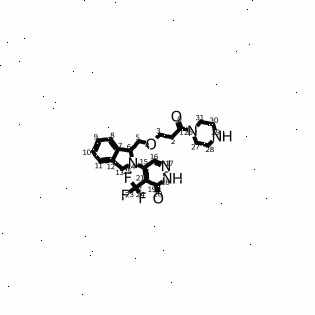 O=C(CCOCC1c2ccccc2CN1c1cn[nH]c(=O)c1C(F)(F)F)N1CCNCC1